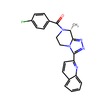 C[C@@H]1c2nnc(-c3ccc4ccccc4n3)n2CCN1C(=O)c1ccc(F)cc1